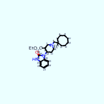 CCOC(=O)C1CN(CC2(CC)CCCCCCC2)CCC1n1c(=O)[nH]c2ccccc21